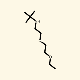 CCOCCOCCNC(C)(C)C